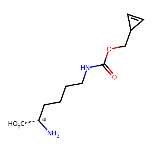 N[C@@H](CCCCNC(=O)OCC1C=C1)C(=O)O